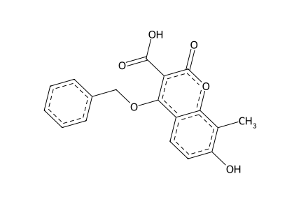 Cc1c(O)ccc2c(OCc3ccccc3)c(C(=O)O)c(=O)oc12